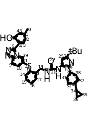 Cc1ccc(-c2nnc3ccc(Sc4ccccc4CNC(=O)Nc4cc(C(C)(C)C)nn4-c4ccc(C5CC5)cc4)cn23)c(O)c1